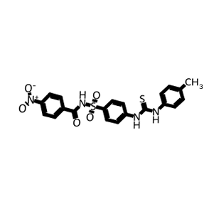 Cc1ccc(NC(=S)Nc2ccc(S(=O)(=O)NC(=O)c3ccc([N+](=O)[O-])cc3)cc2)cc1